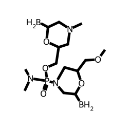 BC1CN(C)CC(COP(=O)(N(C)C)N2CC(B)OC(COC)C2)O1